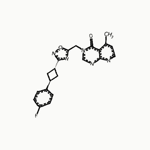 Cc1ccnc2ncn(Cc3nc([C@H]4C[C@H](c5ccc(F)cc5)C4)no3)c(=O)c12